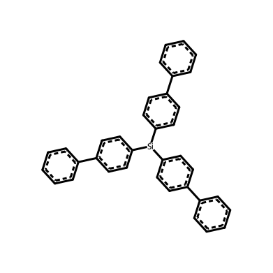 c1ccc(-c2ccc([Si](c3ccc(-c4ccccc4)cc3)c3ccc(-c4ccccc4)cc3)cc2)cc1